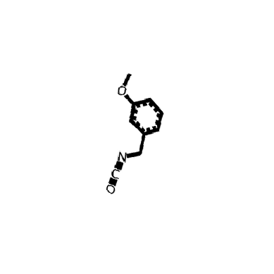 COc1cccc(CN=C=O)c1